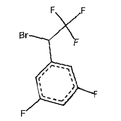 Fc1cc(F)cc(C(Br)C(F)(F)F)c1